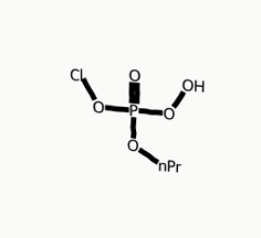 CCCOP(=O)(OO)OCl